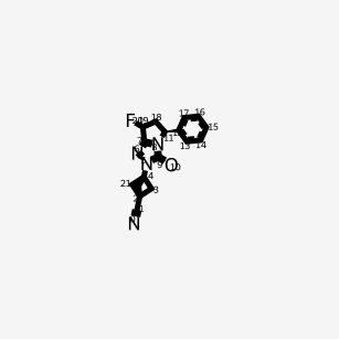 N#CC12CC(n3nc4n(c3=O)[C@H](c3ccccc3)CC4F)(C1)C2